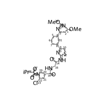 COc1cc(-c2cccc(-c3csc(NC(=O)CNC(=O)c4cc(Cl)n(S(=O)(=O)C(C)C)c4)n3)c2)nc(OC)n1